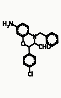 Nc1ccc2c(c1)OC(c1ccc(Cl)cc1)C(C=O)N2Cc1ccccc1